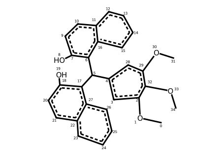 COc1cc(C(c2c(O)ccc3ccccc23)c2c(O)ccc3ccccc23)cc(OC)c1OC